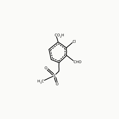 CS(=O)(=O)Cc1ccc(C(=O)O)c(Cl)c1C=O